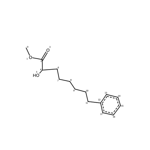 COC(=O)C(O)CCCCCCc1ccccc1